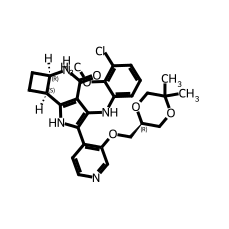 COc1c(Cl)cccc1Nc1c(-c2ccncc2OC[C@@H]2COC(C)(C)CO2)[nH]c2c1C(=O)N[C@@H]1CC[C@H]21